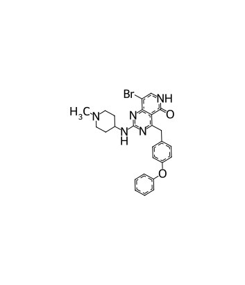 CN1CCC(Nc2nc(Cc3ccc(Oc4ccccc4)cc3)c3c(=O)[nH]cc(Br)c3n2)CC1